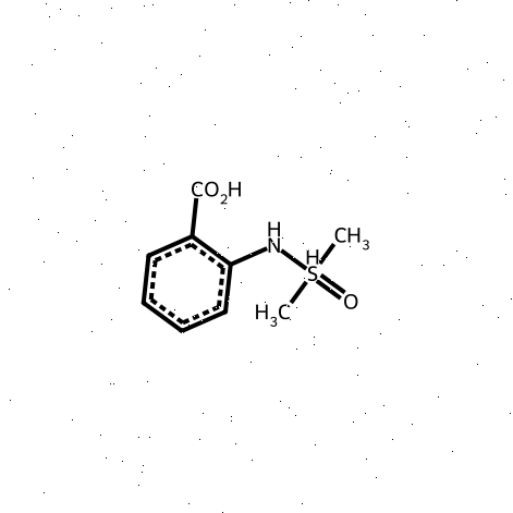 C[SH](C)(=O)Nc1ccccc1C(=O)O